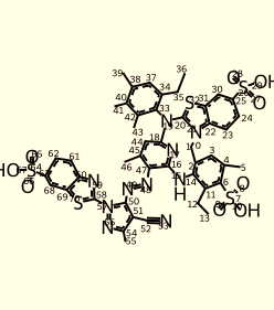 CCc1cc(C)c(S(=O)(=O)O)c(CC)c1Nc1nc(N(c2nc3ccc(S(=O)(=O)O)cc3s2)c2c(CC)cc(C)c(C)c2C)cc(C)c1N=Nc1c(C#N)c(C)nn1-c1nc2ccc(S(=O)(=O)O)cc2s1